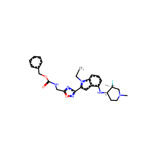 CN1CC[C@@H](Nc2cccc3c2cc(-c2noc(CNC(=O)OCc4ccccc4)n2)n3CC(F)(F)F)[C@@](C)(F)C1